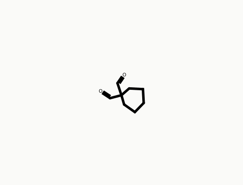 O=CC1(C=O)[CH]CCCC1